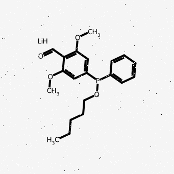 CCCCCOP(c1ccccc1)c1cc(OC)c(C=O)c(OC)c1.[LiH]